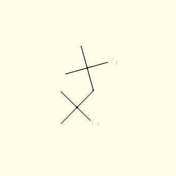 [CH2]C(C)C(C)(C)CC(C)(C)CC